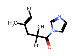 CCC=C(C)CC(C)(CC)C(=O)n1ccnc1